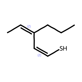 C/C=C(\C=C/S)CCC